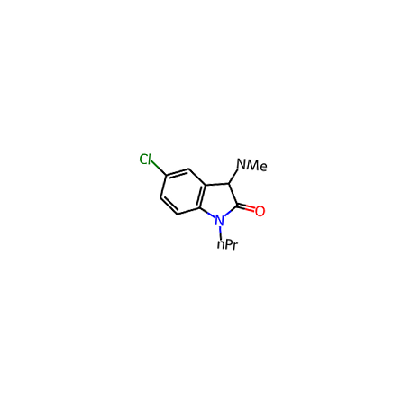 CCCN1C(=O)C(NC)c2cc(Cl)ccc21